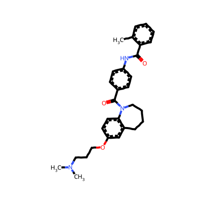 Cc1ccccc1C(=O)Nc1ccc(C(=O)N2CCCCc3cc(OCCCN(C)C)ccc32)cc1